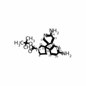 CC(C)(C)OC(=O)N1CCC(c2ccc(N)nc2)(c2ccc(N)nc2)C1